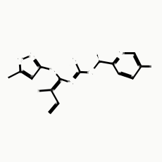 C=C/C(Cl)=C(\N=C(/N)N[C@@H](CC)c1ccc(F)cn1)Nc1cc(C)[nH]n1